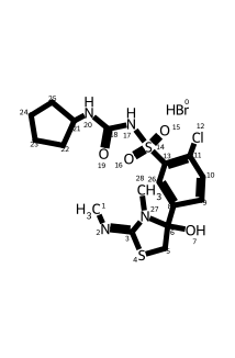 Br.CN=C1SCC(O)(c2ccc(Cl)c(S(=O)(=O)NC(=O)NC3CCCC3)c2)N1C